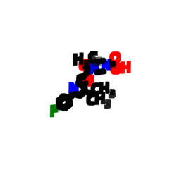 CC(C)c1cc(-c2ccc(F)cc2)nc2cc(C(=O)N3CCN(C(=O)O)C[C@H]3C)oc12